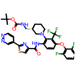 CC(C)(C)OC(=O)NC[C@@H]1CCCN(c2c(NC(=O)c3csc(-c4ccnnc4)n3)ccc(Oc3c(F)cccc3F)c2C(F)(F)F)C1